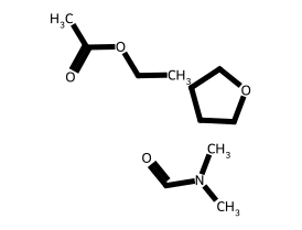 C1CCOC1.CCOC(C)=O.CN(C)C=O